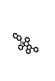 C1=CC2=CC(n3c4ccccc4c4c5c6ccccc6c(-c6ccccc6)cc5c5ccccc5c43)=CCC2C=C1